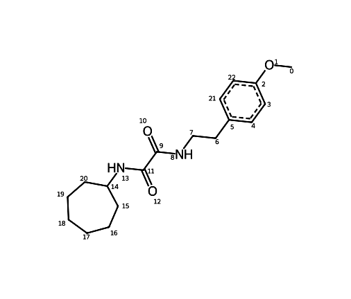 COc1ccc(CCNC(=O)C(=O)NC2CCCCCC2)cc1